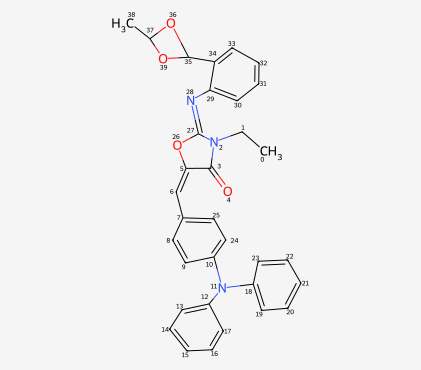 CCN1C(=O)/C(=C\c2ccc(N(c3ccccc3)c3ccccc3)cc2)O/C1=N/c1ccccc1C1OC(C)O1